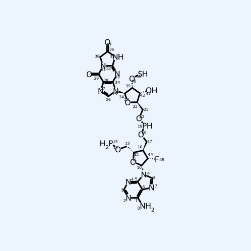 Nc1ncnc2c1ncn2[C@@H]1O[C@H](COP)[C@@H](COPOC[C@H]2O[C@@H](n3cnc4c(=O)n5c(nc43)NC(=O)C5)[C@H](OS)[C@@H]2O)[C@@H]1F